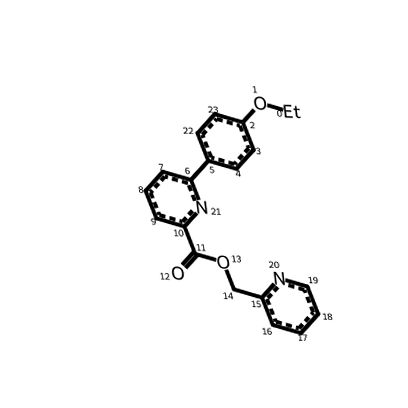 CCOc1ccc(-c2cccc(C(=O)OCc3ccccn3)n2)cc1